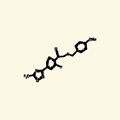 COc1ccc(CSCC(=O)c2ccc(-c3noc(C(F)(F)F)n3)cc2F)cc1